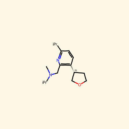 CC(C)c1ccc([C@@H]2CCOC2)c(CN(C)C(C)C)n1